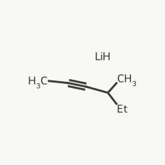 CC#CC(C)CC.[LiH]